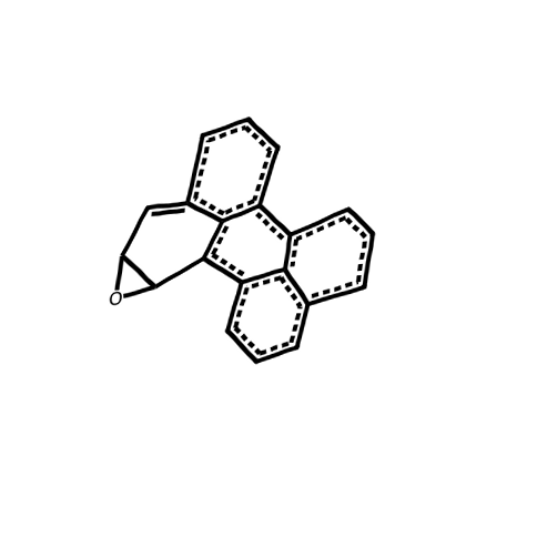 C1=c2cccc3c2c(c2cccc4cccc3c42)C2OC12